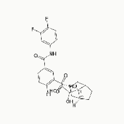 O=C(Nc1ccc(F)c(F)c1)c1ccc(Cl)c(S(=O)(=O)[C@@H]2CC3CC[C@@H](C2)[C@@]3(O)C(O)CO)c1